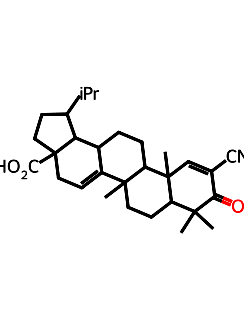 CC(C)C1CCC2(C(=O)O)CC=C3C(CCC4C3(C)CCC3C(C)(C)C(=O)C(C#N)=CC34C)C12